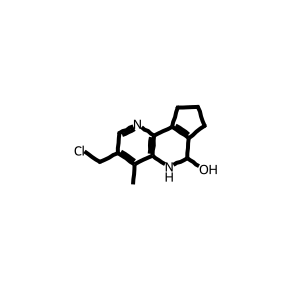 Cc1c(CCl)cnc2c1NC(O)C1=C2CCC1